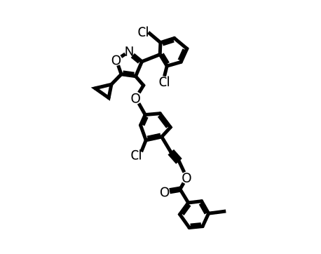 Cc1cccc(C(=O)OC#Cc2ccc(OCc3c(-c4c(Cl)cccc4Cl)noc3C3CC3)cc2Cl)c1